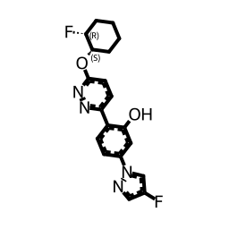 Oc1cc(-n2cc(F)cn2)ccc1-c1ccc(O[C@H]2CCCC[C@H]2F)nn1